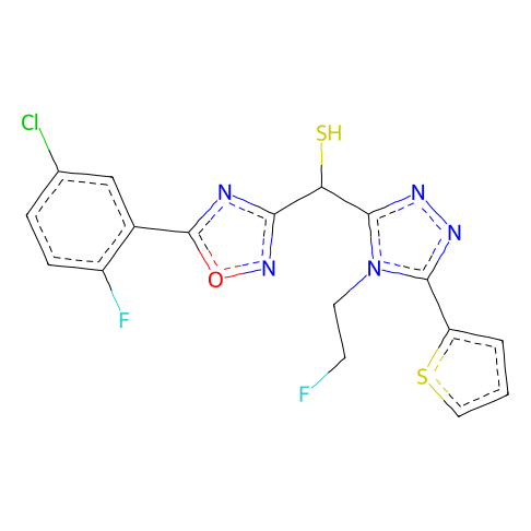 FCCn1c(-c2cccs2)nnc1C(S)c1noc(-c2cc(Cl)ccc2F)n1